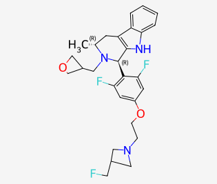 C[C@@H]1Cc2c([nH]c3ccccc23)[C@@H](c2c(F)cc(OCCN3CC(CF)C3)cc2F)N1CC1COC1